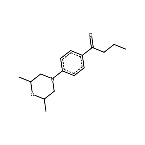 CCCC(=O)c1ccc(N2CC(C)OC(C)C2)cc1